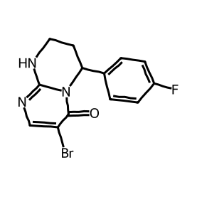 O=c1c(Br)cnc2n1C(c1ccc(F)cc1)CCN2